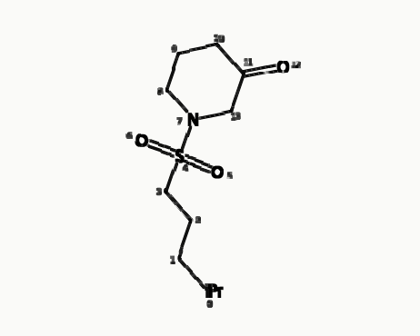 CC(C)CCCS(=O)(=O)N1CCCC(=O)C1